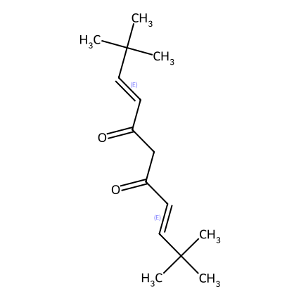 CC(C)(C)/C=C/C(=O)CC(=O)/C=C/C(C)(C)C